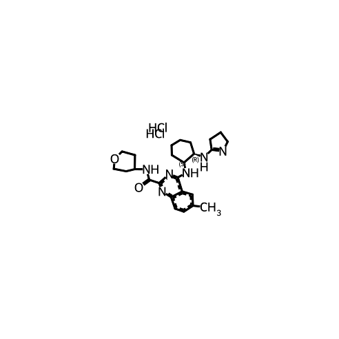 Cc1ccc2nc(C(=O)NC3CCOCC3)nc(N[C@H]3CCCC[C@H]3NC3=NCCC3)c2c1.Cl.Cl